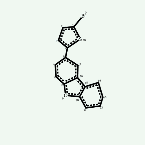 Brc1ccc(-c2ccc3oc4ccccc4c3c2)s1